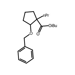 CCCC1(C(=O)OCC(C)C)CCCC1OCc1ccccc1